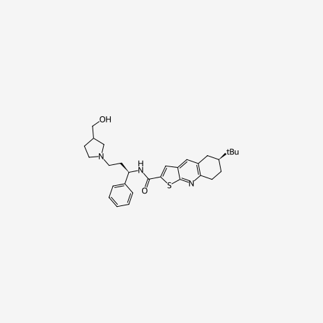 CC(C)(C)[C@H]1CCc2nc3sc(C(=O)N[C@H](CCN4CCC(CO)C4)c4ccccc4)cc3cc2C1